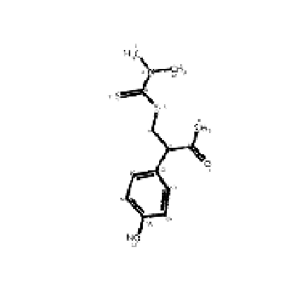 CC(=O)C(CSC(=S)N(C)C)c1ccc(O)cc1